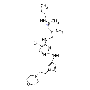 C=CCN/C(C)=C/C(C)CNc1nc(Nc2cnn(CCN3CCOCC3)c2)ncc1Cl